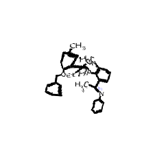 CCC(C)(Pc1c(C)cccc1/C(C)=N/c1ccccc1)c1cc(C)ccc1OCc1ccccc1